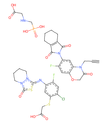 C#CCN1C(=O)COc2cc(F)c(N3C(=O)C4=C(CCCC4)C3=O)cc21.O=C(O)CNCP(=O)(O)O.O=C(O)CSc1cc(N=c2sc(=O)n3n2CCCC3)c(F)cc1Cl